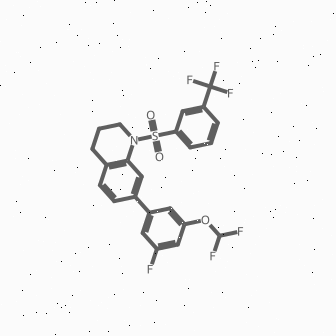 O=S(=O)(c1cccc(C(F)(F)F)c1)N1CCCc2ccc(-c3cc(F)cc(OC(F)F)c3)cc21